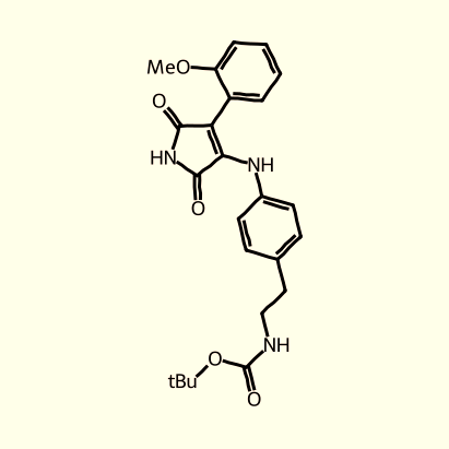 COc1ccccc1C1=C(Nc2ccc(CCNC(=O)OC(C)(C)C)cc2)C(=O)NC1=O